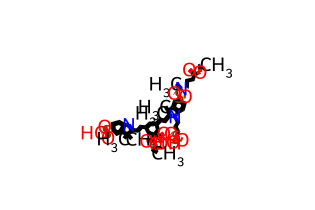 CCOC(=O)CCCN(C)S(=O)(=O)c1ccc2c(c1)C(C)(C)/C(=C\C=C1C=C(/C=C/C3=Nc4ccc(S(=O)(=O)O)cc4C3(C)C)CC(C(=O)O)(C(=O)OCC)C\1)N2CCCS(=O)(=O)O